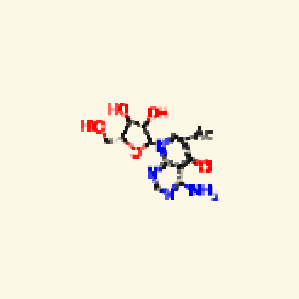 CC(=O)c1cn(C2O[C@H](CO)[C@@H](O)[C@H]2O)c2ncnc(N)c2c1=O